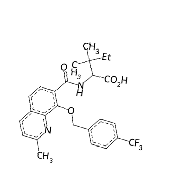 CCC(C)(C)C(NC(=O)c1ccc2ccc(C)nc2c1OCc1ccc(C(F)(F)F)cc1)C(=O)O